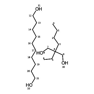 CCCCC(CC)(CO)CO.OCCCCCCCCCCO